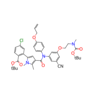 C=CCOc1ccc(N(C(=O)c2cc(-c3cc(Cl)ccc3C(=O)OC(C)(C)C)n(C)c2C)c2cc(C#N)cc(OCCN(C)C(=O)OC(C)(C)C)c2)cc1